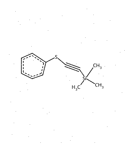 C[Si](C)(C)C#CSc1ccccc1